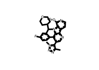 COc1nccc2c3ncc(-c4c(C)nnn4C)c4c3n(c12)C(C1CCOCC1)c1cc(F)ccc1-4